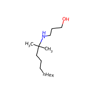 CCCCCCCCCC(C)(C)NCCCO